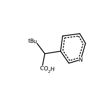 CC(C)(C)C(C(=O)O)c1cccnc1